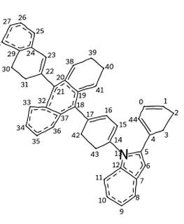 C1=CCCC(c2cc3ccccc3n2C2=CC=C(c3c4c(c(C5=Cc6ccccc6CC5)c5ccccc35)=CCCC=4)CC2)=C1